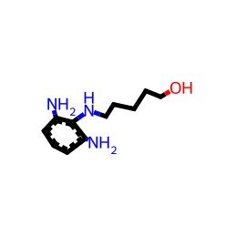 Nc1cccc(N)c1NCCCCCO